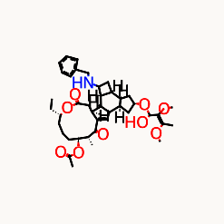 CC[C@H]1CCC[C@H](OC(C)=O)[C@@H](C)C(=O)C2=CC3[C@@H]([C@H]4C(NCc5ccccc5)C[C@H]4[C@@H]4C[C@@H](O[C@H](O)/C(OC)=C(/C)OC)C[C@@H]34)[C@@H]2CC(=O)O1